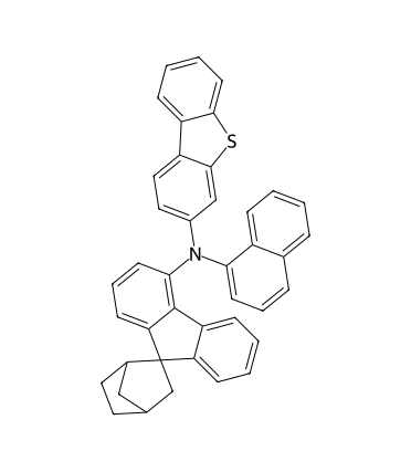 c1ccc2c(c1)-c1c(N(c3ccc4c(c3)sc3ccccc34)c3cccc4ccccc34)cccc1C21CC2CCC1C2